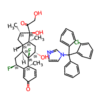 C[C@H]1C[C@H]2[C@@H]3C[C@H](F)C4=CC(=O)C=C[C@]4(C)[C@@]3(F)[C@@H](O)C[C@]2(C)[C@@]1(O)C(=O)CO.Clc1ccccc1C(c1ccccc1)(c1ccccc1)n1ccnc1